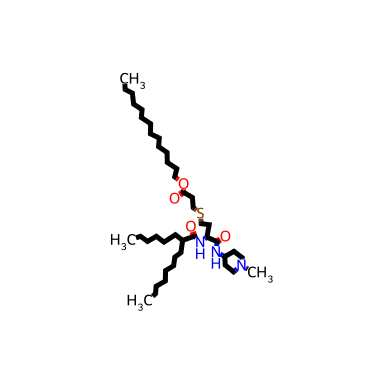 CCCCCCCCCCCCCCOC(=O)CCSCCC(NC(=O)C(CCCCCC)CCCCCCCC)C(=O)NC1CCN(C)CC1